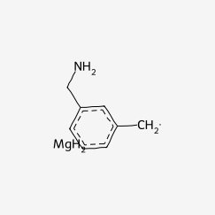 [CH2]c1cccc(CN)c1.[MgH2]